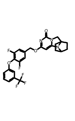 O=c1nc(OCc2cc(F)c(Oc3cccc(C(F)(F)F)c3)c(F)c2)cc2n1CC13CCC(CC1)N23